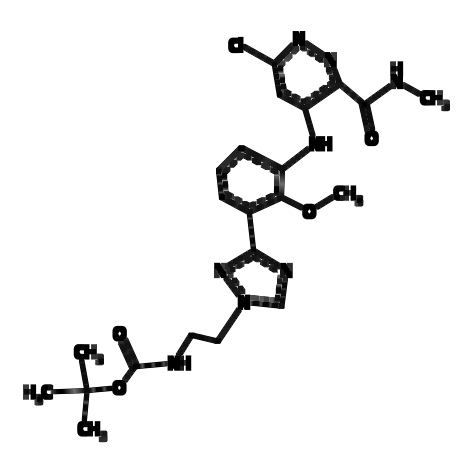 CNC(=O)c1nnc(Cl)cc1Nc1cccc(-c2ncn(CCNC(=O)OC(C)(C)C)n2)c1OC